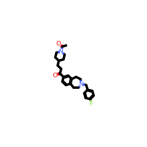 CC(=O)N1CCC(CCC(=O)c2ccc3c(c2)CCN(Cc2ccc(F)cc2)CC3)CC1